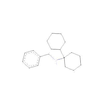 c1ccc(CNC2(C3CCCCC3)CCCCC2)cc1